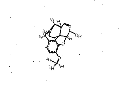 [2H]C([2H])([2H])Oc1ccc2c3c1OC1([2H])C(O)C=C[C@H]4[C@H](N(C)CC[C@@]341)C2([2H])[2H]